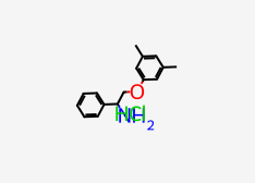 Cc1cc(C)cc(OCC(N)c2ccccc2)c1.Cl